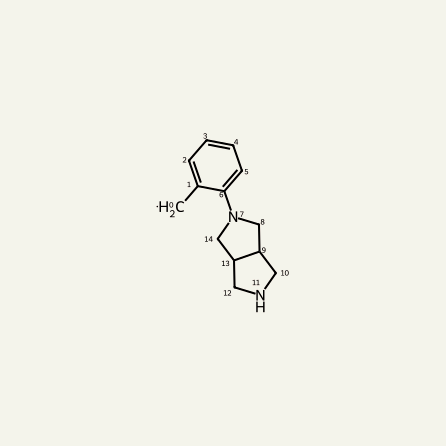 [CH2]c1ccccc1N1CC2CNCC2C1